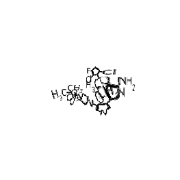 COc1c(-c2cnc(N)c(OC(C)c3c(Cl)ccc(F)c3Cl)c2)cncc1N1CCN(C(=O)OC(C)(C)C)CC1